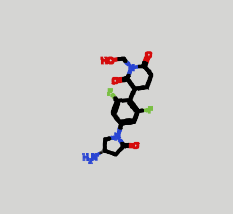 N[C@H]1CC(=O)N(c2cc(F)c(C3CCC(=O)N(CO)C3=O)c(F)c2)C1